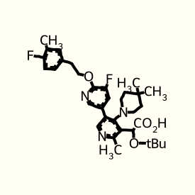 Cc1cc(CCOc2ncc(-c3cnc(C)c(C(OC(C)(C)C)C(=O)O)c3N3CCC(C)(C)CC3)cc2F)ccc1F